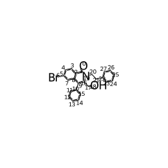 O=c1c2ccc(Br)cc2c(-c2ccccc2)c(CO)n1CCc1ccccc1